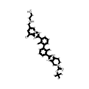 Cc1c(-c2nc3c(Cl)cc(CNCCO)cn3n2)cccc1-c1cccc(-c2nc3c(s2)CN(C(=O)OC(C)(C)C)CC3)c1C